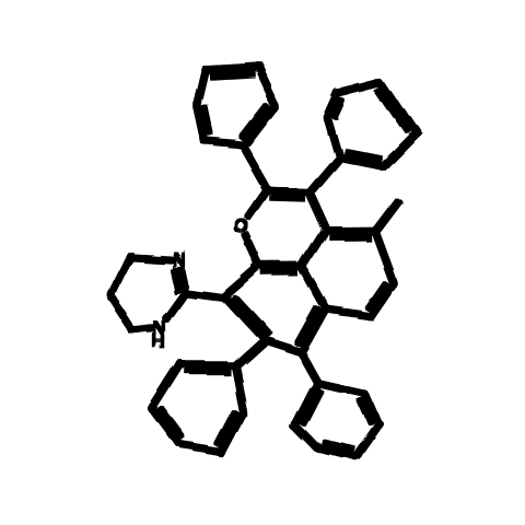 Cc1ccc2c(-c3ccccc3)c(-c3ccccc3)c(C3=NCCCN3)c3c2c1C(c1ccccc1)=C(c1ccccc1)O3